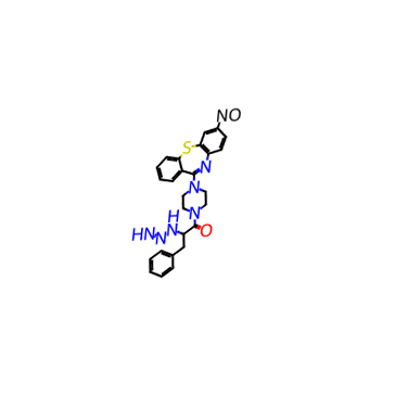 N=NNC(Cc1ccccc1)C(=O)N1CCN(C2=Nc3ccc(N=O)cc3Sc3ccccc32)CC1